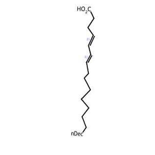 CCCCCCCCCCCCCCCCC/C=C/C=C/CCC(=O)O